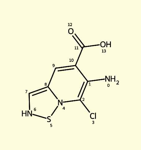 NC1=C(Cl)N2SNC=C2C=C1C(=O)O